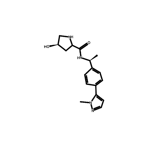 C[C@H](NC(=O)C1C[C@@H](O)CN1)c1ccc(-c2ccnn2C)cc1